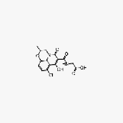 CC1Cn2c(=O)c(C(=O)NCC(=O)O)c(O)c3c(Cl)ccc(c32)O1